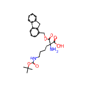 CC(C)(C)OC(=O)NCCCCC(N)(C(=O)O)C(=O)OCc1cccc2c1Cc1ccccc1-2